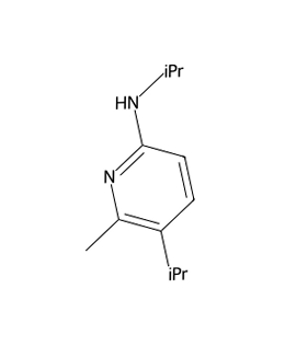 Cc1nc(NC(C)C)ccc1C(C)C